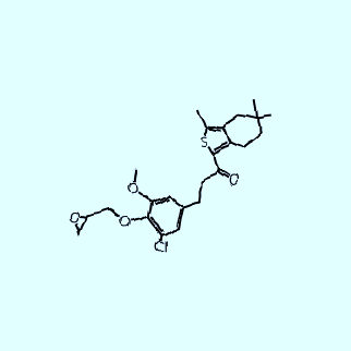 COc1cc(CCC(=O)c2sc(C)c3c2CCC(C)(C)C3)cc(Cl)c1OCC1CO1